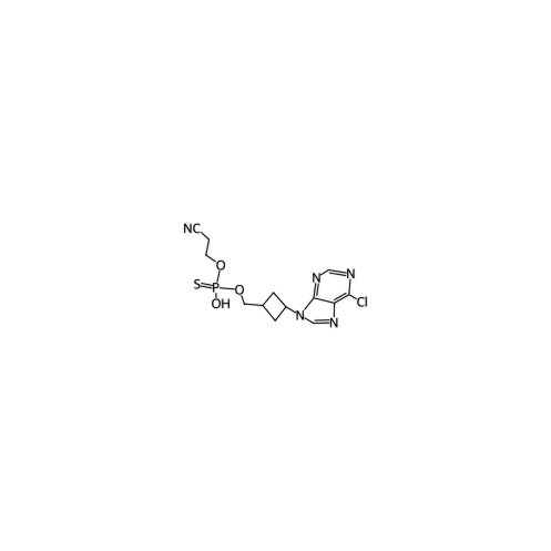 N#CCCOP(O)(=S)OCC1CC(n2cnc3c(Cl)ncnc32)C1